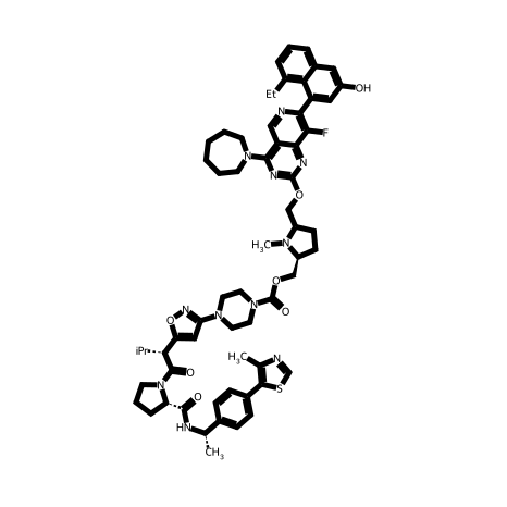 CCc1cccc2cc(O)cc(-c3ncc4c(N5CCCCCC5)nc(OCC5CC[C@@H](COC(=O)N6CCN(c7cc([C@H](C(=O)N8CCC[C@H]8C(=O)N[C@@H](C)c8ccc(-c9scnc9C)cc8)C(C)C)on7)CC6)N5C)nc4c3F)c12